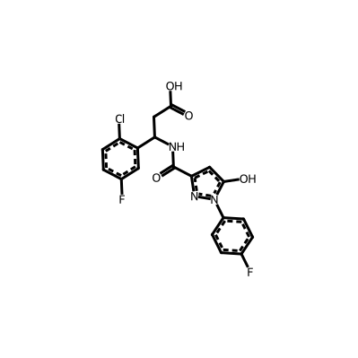 O=C(O)CC(NC(=O)c1cc(O)n(-c2ccc(F)cc2)n1)c1cc(F)ccc1Cl